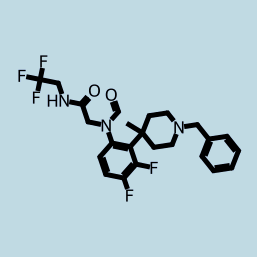 CC1(c2c(N(C=O)CC(=O)NCC(F)(F)F)ccc(F)c2F)CCN(Cc2ccccc2)CC1